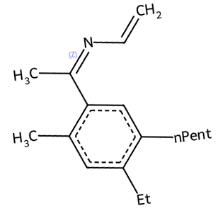 C=C/N=C(/C)c1cc(CCCCC)c(CC)cc1C